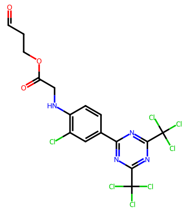 O=CCCOC(=O)CNc1ccc(-c2nc(C(Cl)(Cl)Cl)nc(C(Cl)(Cl)Cl)n2)cc1Cl